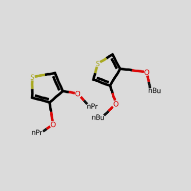 CCCCOc1cscc1OCCCC.CCCOc1cscc1OCCC